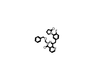 O=C1CCCN1c1cc(Cc2nn(COCc3ccccc3)c(=O)c3cccnc23)ccc1F